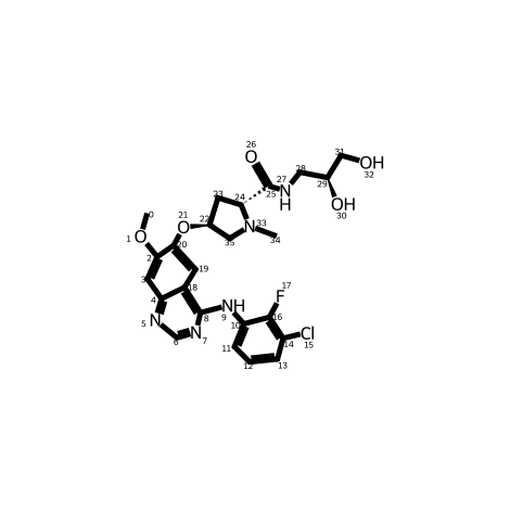 COc1cc2ncnc(Nc3cccc(Cl)c3F)c2cc1O[C@H]1C[C@H](C(=O)NC[C@H](O)CO)N(C)C1